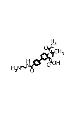 CC(=O)N1c2ccc(-c3ccc(C(=O)NCCN)cc3)cc2N(C(=O)O)CC1C